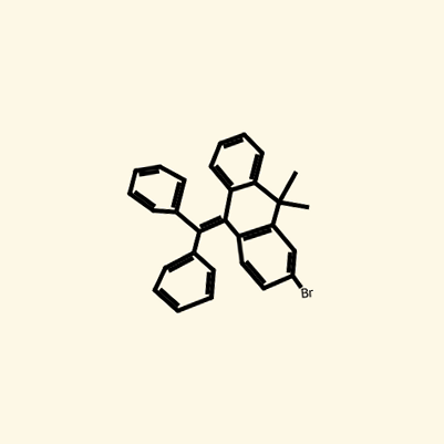 CC1(C)c2ccccc2C(=C(c2ccccc2)c2ccccc2)c2ccc(Br)cc21